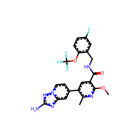 COc1nc(C)c(-c2ccn3nc(N)nc3c2)cc1C(=O)NCc1cc(F)ccc1OC(F)(F)F